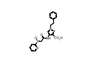 O=C(C[S+]([O-])c1ccccn1)Nc1cn(CCc2ccccc2)nc1C(=O)O